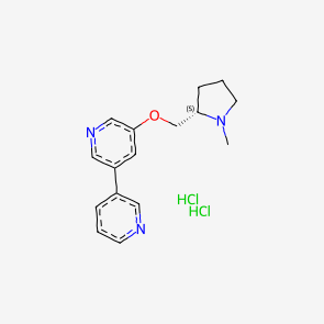 CN1CCC[C@H]1COc1cncc(-c2cccnc2)c1.Cl.Cl